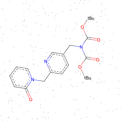 CC(C)(C)OC(=O)N(Cc1ccc(Cn2ccccc2=O)nc1)C(=O)OC(C)(C)C